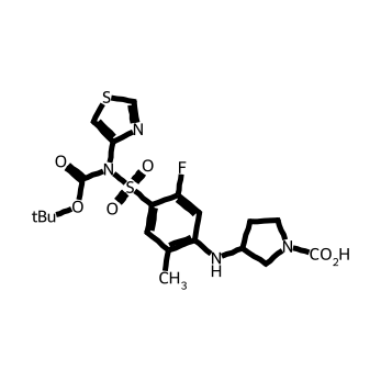 Cc1cc(S(=O)(=O)N(C(=O)OC(C)(C)C)c2cscn2)c(F)cc1NC1CCN(C(=O)O)C1